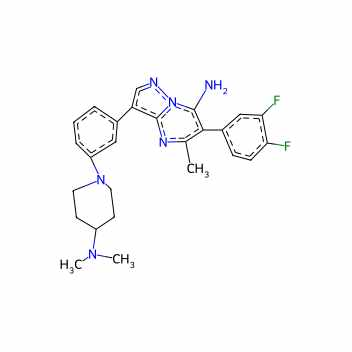 Cc1nc2c(-c3cccc(N4CCC(N(C)C)CC4)c3)cnn2c(N)c1-c1ccc(F)c(F)c1